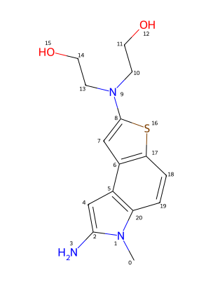 Cn1c(N)cc2c3cc(N(CCO)CCO)sc3ccc21